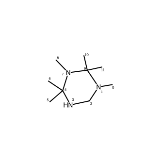 CN1CNC(C)(C)N(C)C1(C)C